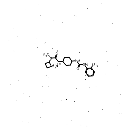 Cc1ccccc1NC(=O)NC1CCC([C@H](N)C(=O)N(C)C2CCC2)CC1